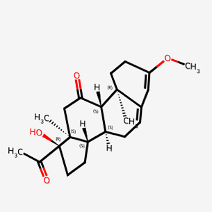 COC1=CC2=CC[C@@H]3[C@H](C(=O)C[C@@]4(C)[C@H]3CC[C@]4(O)C(C)=O)[C@@]2(C)CC1